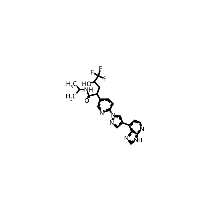 CC(C)NC(=O)C(CC(O)C(F)(F)F)c1ccc(-n2cc(-c3ccnc4[nH]cnc34)cn2)nc1